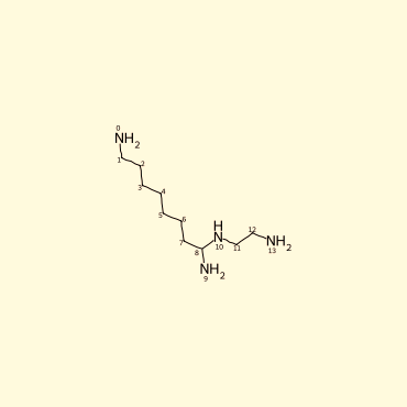 NCCCCCCCC(N)NCCN